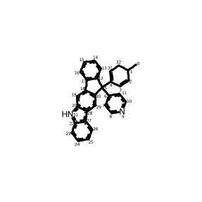 CC1C=CC(C2(c3ccncc3)c3ccccc3-c3cc4[nH]c5ccccc5c4cc32)=CC1